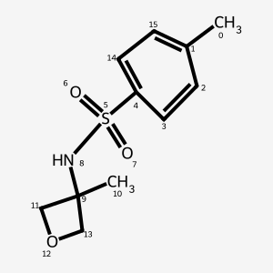 Cc1ccc(S(=O)(=O)NC2(C)COC2)cc1